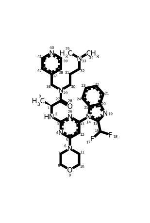 C[C@H](Nc1nc(N2CCOCC2)cc(-n2c(C(F)F)nc3ccccc32)n1)C(=O)N(CCCN(C)C)Cc1ccncc1